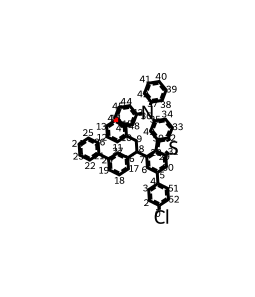 Clc1ccc(-c2cc(C(Cc3ccccc3)c3cccc(-c4ccccc4)c3)c3c(c2)sc2ccc(N(c4ccccc4)c4ccccc4)cc23)cc1